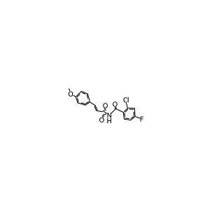 COc1ccc(/C=C/S(=O)(=O)NC(=O)c2ccc(F)cc2Cl)cc1